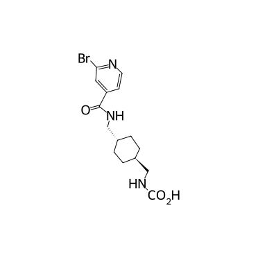 O=C(O)NC[C@H]1CC[C@H](CNC(=O)c2ccnc(Br)c2)CC1